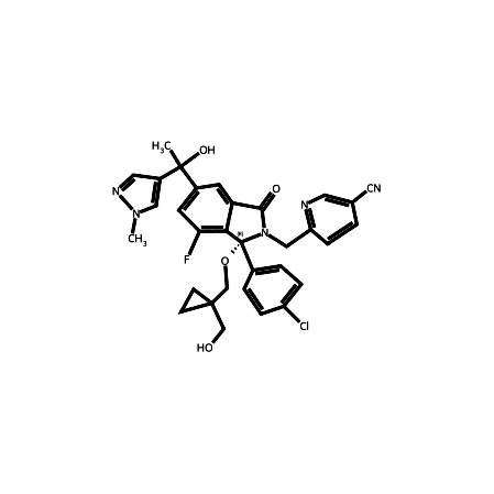 Cn1cc(C(C)(O)c2cc(F)c3c(c2)C(=O)N(Cc2ccc(C#N)cn2)[C@@]3(OCC2(CO)CC2)c2ccc(Cl)cc2)cn1